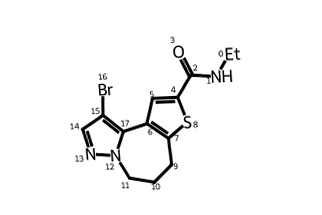 CCNC(=O)c1cc2c(s1)CCCn1ncc(Br)c1-2